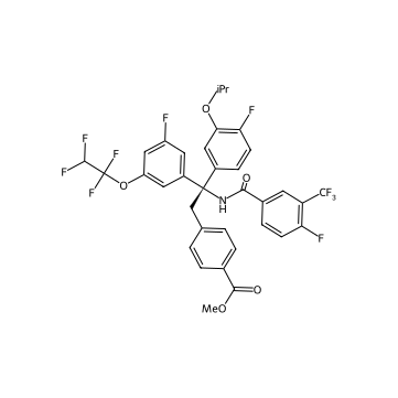 COC(=O)c1ccc(C[C@@](NC(=O)c2ccc(F)c(C(F)(F)F)c2)(c2cc(F)cc(OC(F)(F)C(F)F)c2)c2ccc(F)c(OC(C)C)c2)cc1